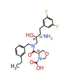 CCc1cccc(CN(C[C@@H](O)[C@@H](N)Cc2cc(F)cc(F)c2)C(=O)[C@H]2COCN2C(=O)O)c1